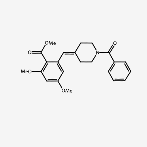 COC(=O)c1c(C=C2CCN(C(=O)c3ccccc3)CC2)cc(OC)cc1OC